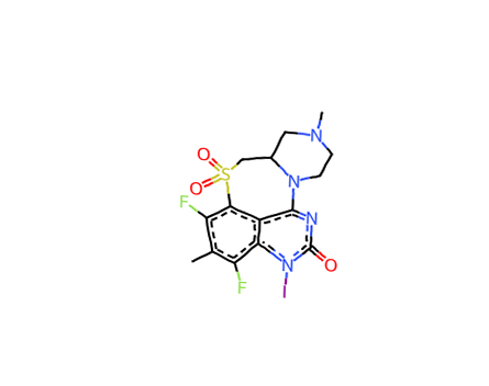 Cc1c(F)c2c3c(nc(=O)n(I)c3c1F)N1CCN(C)CC1CS2(=O)=O